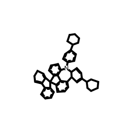 C1=CC2C(C=C1C1CCCCC1)c1cccc3c1-c1c(cccc1C31C3=CCCC=C3c3ccccc31)N2c1ccc(C2CCCCC2)cc1